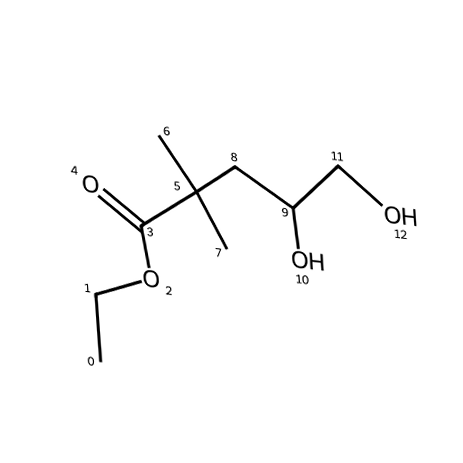 CCOC(=O)C(C)(C)CC(O)CO